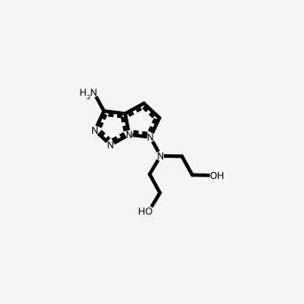 Nc1nnn2c1ccn2N(CCO)CCO